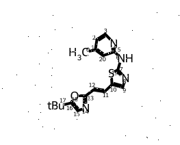 Cc1ccnc(Nc2ncc(C=Cc3ncc(C(C)(C)C)o3)s2)c1